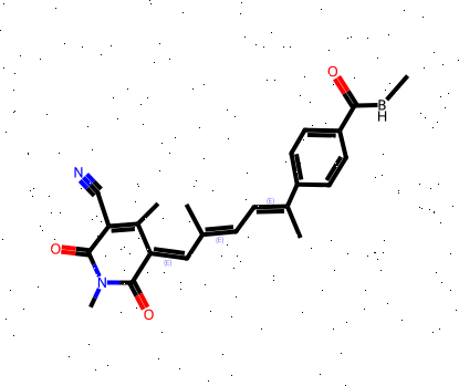 CBC(=O)c1ccc(/C(C)=C/C=C(C)/C=C2/C(=O)N(C)C(=O)C(C#N)=C2C)cc1